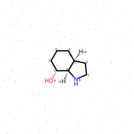 O[C@@H]1CCC[C@H]2CCN[C@H]21